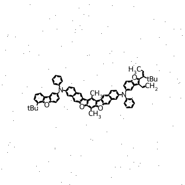 C=Cc1c(/C(=C\C)C(C)(C)C)oc2ccc(N(c3ccccc3)c3ccc4cc5c(cc4c3)oc3c(C)c4oc6cc7cc(N(c8ccccc8)c8ccc9oc%10c(C(C)(C)C)cccc%10c9c8)ccc7cc6c4c(C)c35)cc12